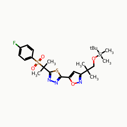 CC(C)(CO[Si](C)(C)C(C)(C)C)c1cc(-c2nnc(C(C)(C)S(=O)(=O)c3ccc(F)cc3)s2)on1